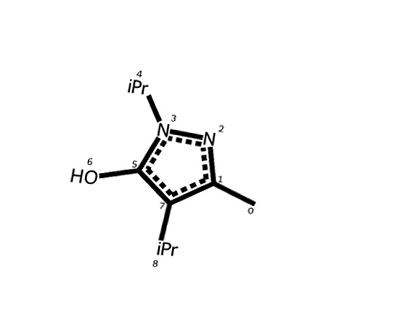 Cc1nn(C(C)C)c(O)c1C(C)C